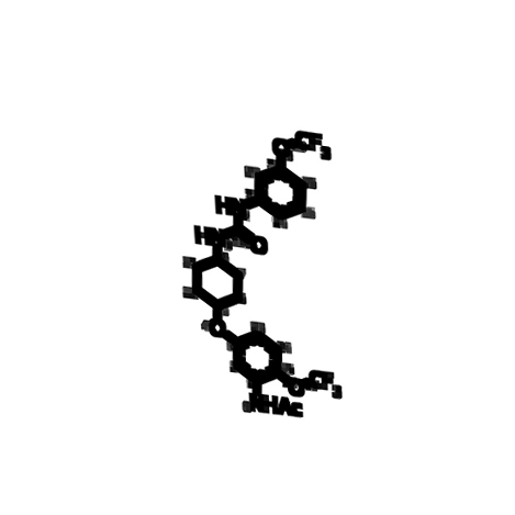 CC(=O)Nc1cc(OC2CCC(NC(=O)Nc3cccc(OC(F)(F)F)c3)CC2)ccc1OC(F)(F)F